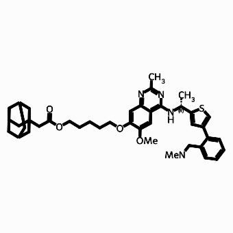 CNCc1ccccc1-c1csc([C@@H](C)Nc2nc(C)nc3cc(OCCCCCOC(=O)CC45CC6CC(CC(C6)C4)C5)c(OC)cc23)c1